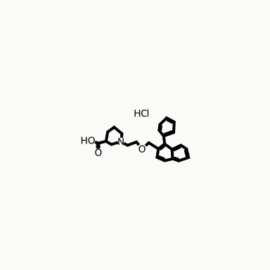 Cl.O=C(O)C1CCCN(CCOCc2ccc3ccccc3c2-c2ccccc2)C1